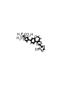 CCn1ncnc1-c1nc2c(s1)CCOc1cc(-c3cnn(C(C)(C)C(=O)O)c3)ccc1-2